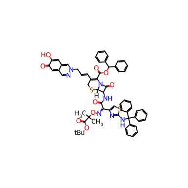 CC(C)(C)OC(=O)C(C)(C)O/N=C(\C(=O)NC1C(=O)N2C(C(=O)OC(c3ccccc3)c3ccccc3)=C(/C=C/Cn3cc4cc(O)c(=O)cc-4cn3)CS[C@@H]12)c1csc(NC(c2ccccc2)(c2ccccc2)c2ccccc2)n1